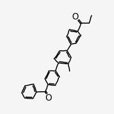 CCC(=O)c1ccc(-c2ccc(-c3ccc(C(=O)c4ccccc4)cc3)c(C)c2)cc1